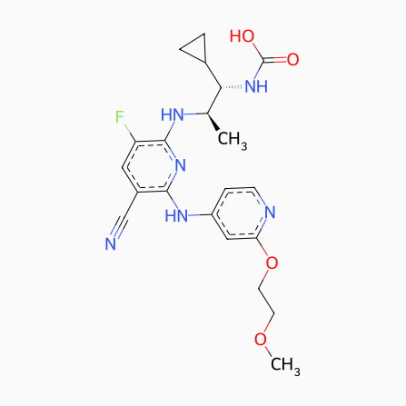 COCCOc1cc(Nc2nc(N[C@H](C)[C@@H](NC(=O)O)C3CC3)c(F)cc2C#N)ccn1